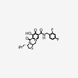 CC(C)C[C@H]1CSC2Cn3cc(C(=O)NCc4ccc(F)cc4F)c(=O)c(O)c3C(=O)N21